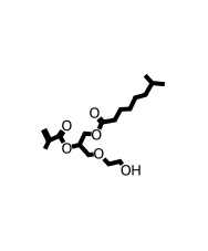 C=C(C)C(=O)OC(COCCO)COC(=O)CCCCCC(C)C